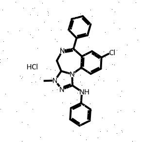 CN1N=C(Nc2ccccc2)N2c3ccc(Cl)cc3C(c3ccccc3)=NCC12.Cl